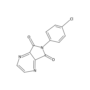 O=C1c2nccnc2C(=O)N1c1ccc(Cl)cc1